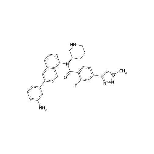 Cn1cc(-c2ccc(C(=O)N(c3nccc4cc(-c5ccnc(N)c5)ccc34)[C@@H]3CCCNC3)c(F)c2)nn1